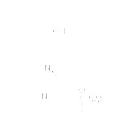 CNS(=O)(=O)c1ccc2nsc(/N=N/c3ccc(O)c(Cl)c3)c2c1